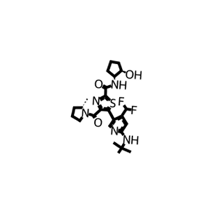 C[C@H]1CCCN1C(=O)c1nc(C(=O)N[C@@H]2CCC[C@H]2O)sc1-c1cnc(NC(C)(C)C)cc1C(F)F